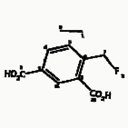 CC.O=C(O)c1ccc(CF)c(C(=O)O)c1